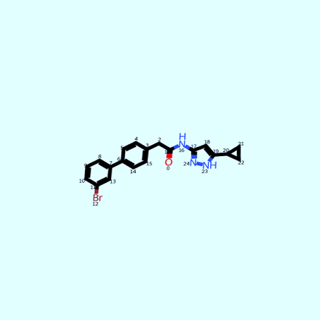 O=C(Cc1ccc(-c2cccc(Br)c2)cc1)Nc1cc(C2CC2)[nH]n1